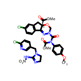 COC(=O)N(C(=O)N1CO[C@@]2(C(=O)OC)Cc3cc(Cl)ccc3C2=N1)c1ccc(OC(F)(F)F)cc1.O=[N+]([O-])NC1=NCCN1Cc1ccc(Cl)nc1